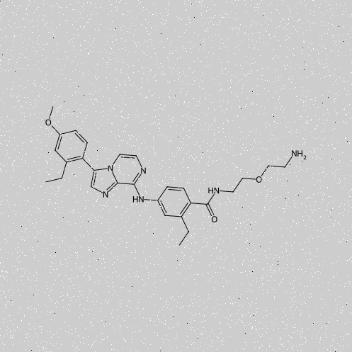 CCc1cc(Nc2nccn3c(-c4ccc(OC)cc4CC)cnc23)ccc1C(=O)NCCOCCN